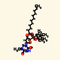 CCCCCCCCCCCC(=O)O[C@H]1CC(N2CN(C)C(=O)NC2=O)O[C@@H]1CO[Si](C)(C)C(C)(C)C